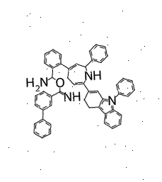 N=C(OC(N)c1ccccc1C1=CC(c2ccccc2)NC(C2=Cc3c(c4ccccc4n3-c3ccccc3)CC2)=CC1)c1cccc(-c2ccccc2)c1